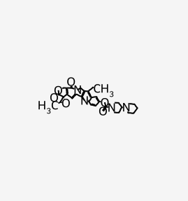 CCc1c2c(nc3ccc(OC(=O)N4CCC(N5CCCCC5)CC4)cc13)-c1cc3c(c(=O)n1C2)COC(=O)[C@@]31OC1C